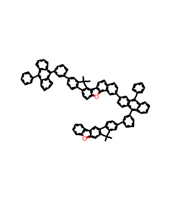 CC1(C)c2cc(-c3cccc(-c4c5ccccc5c(-c5ccccc5)c5cc(-c6ccc7ccc8c(oc9ccc%10c(c98)C(C)(C)c8cc(-c9cccc(-c%11c%12ccccc%12c(-c%12ccccc%12)c%12ccccc%11%12)c9)ccc8-%10)c7c6)ccc45)c3)ccc2-c2cc3c(cc21)oc1ccccc13